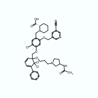 CC(=O)NC1CCN(CCCOC2(COc3cc(OCc4cncc(C#N)c4)c(CN4CCCC[C@H]4C(=O)O)cc3Cl)C=CC=C(c3ccccc3)C2(Cl)Cl)C1